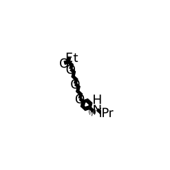 CCC(=O)COCCCOCCCOc1ccc([C@@H](C)NC(C)C)cc1